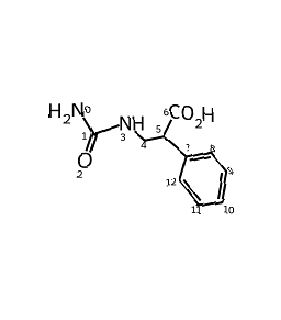 NC(=O)NCC(C(=O)O)c1ccccc1